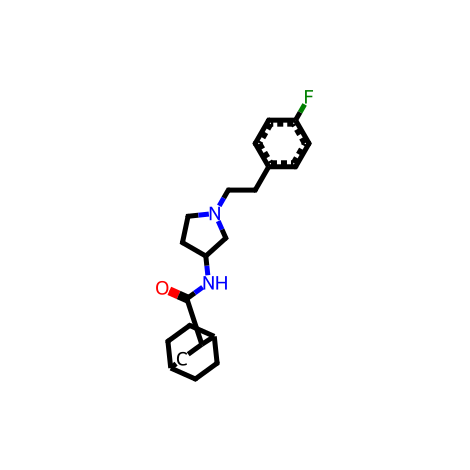 O=C(NC1CCN(CCc2ccc(F)cc2)C1)C1CC2CCC1CC2